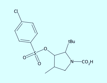 CC1CN(C(=O)O)C(C(C)(C)C)C1OS(=O)(=O)c1ccc(Cl)cc1